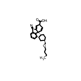 CCCCOC[C@H]1CC[C@H](C2(c3ccccc3C#N)C=CC(C(=O)O)C=C2F)CC1